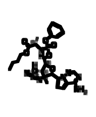 CCCCOC(=O)[C@H](C)NP(=O)(OC[C@H]1OC(c2ccc3c(N)ncnn23)[C@](C)(N=[N+]=[N-])[C@@H]1O)Oc1ccccc1